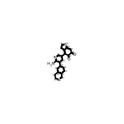 Nc1ncc(C2=c3ccsc3=CC(=O)C2=O)cc1-c1ccc2c(c1)CCN=C2